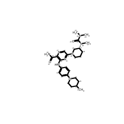 CC1CCN(c2ccc(Nc3nc(N4CCC[C@@H](N(C)C(=O)N(C)C)C4)cnc3C(N)=O)cc2)CC1